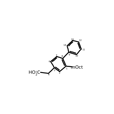 CCCCCCCCc1cc(CC(=O)O)ccc1-c1ccccc1